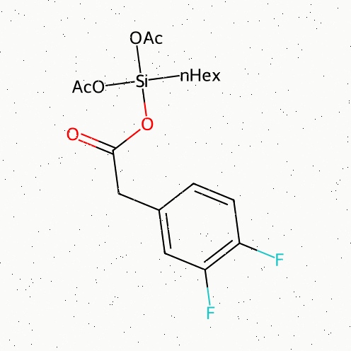 CCCCCC[Si](OC(C)=O)(OC(C)=O)OC(=O)Cc1ccc(F)c(F)c1